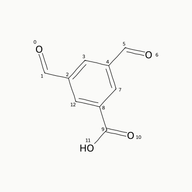 O=Cc1cc(C=O)cc(C(=O)O)c1